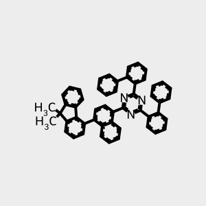 CC1(C)c2ccccc2-c2c(-c3ccc(-c4nc(-c5ccccc5-c5ccccc5)nc(-c5ccccc5-c5ccccc5)n4)c4ccccc34)cccc21